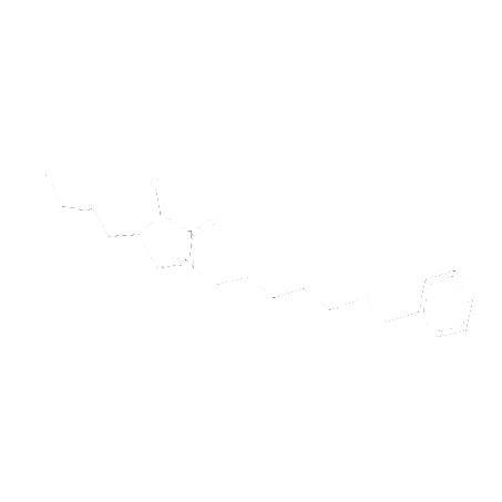 CCCCC1CN(CCCCCOCc2ccccc2)C(=O)C1Br